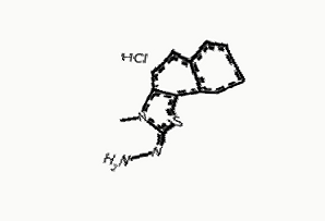 Cl.Cn1c(=NN)sc2c3ccccc3ccc21